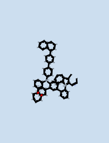 C/C=C\c1c(C)c2ccccc2n1-c1ccccc1-c1ccc(N(c2ccc(-c3ccc(-c4cccc5ccccc45)cc3)cc2)c2cccc(-c3ccccc3)c2)c(-c2ccccc2)c1